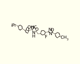 Cc1ccc(-c2nc(-c3ccc(CC(NC(=O)c4ccc(-c5ccc(C(C)C)cc5)o4)OC=O)cc3F)no2)cc1